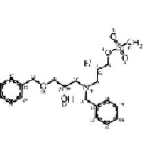 CS(=O)(=O)OC[C@@H](F)CN(Cc1ccccc1)C[C@H](O)COCc1ccccc1